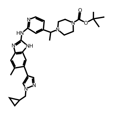 Cc1cc2nc(Nc3cc(C(C)N4CCN(C(=O)OC(C)(C)C)CC4)ccn3)[nH]c2cc1-c1cnn(CC2CC2)c1